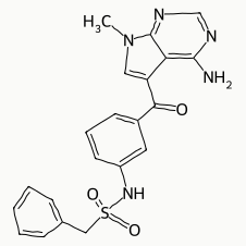 Cn1cc(C(=O)c2cccc(NS(=O)(=O)Cc3ccccc3)c2)c2c(N)ncnc21